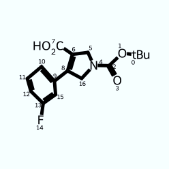 CC(C)(C)OC(=O)N1CC(C(=O)O)=C(c2cccc(F)c2)C1